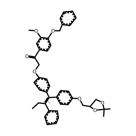 CC/C(=C(\c1ccc(OCC(=O)c2ccc(OCc3ccccc3)c(OC)c2)cc1)c1ccc(OCC2COC(C)(C)O2)cc1)c1ccccc1